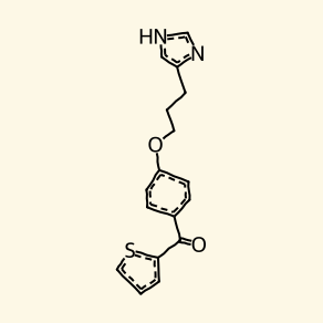 O=C(c1ccc(OCCCc2c[nH]cn2)cc1)c1cccs1